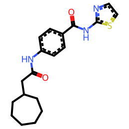 O=C(CC1CCCCCC1)Nc1ccc(C(=O)Nc2nccs2)cc1